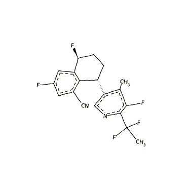 Cc1c([C@H]2CC[C@H](F)c3cc(F)cc(C#N)c32)cnc(C(C)(F)F)c1F